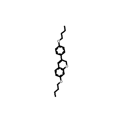 CCCCOc1ccc(C2=Cc3ccc(OCCCC)cc3OC2)cc1